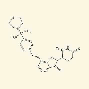 BC(B)(c1ccc(COc2cccc3c2CN(C2CCC(=O)NC2=O)C3=O)cc1)N1CCOCC1